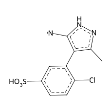 Cc1n[nH]c([N])c1-c1cc(S(=O)(=O)O)ccc1Cl